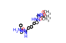 COC(=O)N[C@H](C(=O)N1CCC[C@H]1c1nc2c([nH]1)-c1ccc(-c3ccc4cc(C5=CNC([C@@H]6CCCN6C(=O)[C@H](N)c6ccccc6)N5)ccc4c3)cc1CC2)C(C)C